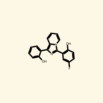 Oc1ccccc1-c1nc(-c2cc(F)ccc2O)n2ccccc12